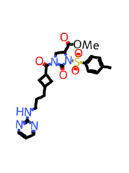 COC(=O)C1CN(C(=O)C2CC(CCCNc3ncccn3)C2)C(=O)N1S(=O)(=O)c1ccc(C)cc1